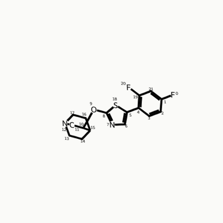 Fc1ccc(-c2cnc(OC3CN4CCC3CC4)s2)c(F)c1